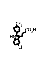 O=C(O)CCCc1c(-c2ccc(C(F)(F)F)cc2)[nH]c2ccc(Cl)cc12